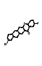 O=c1c2cc(F)ccc2sc2cc3cc4ccc(Br)cc4cc3cc12